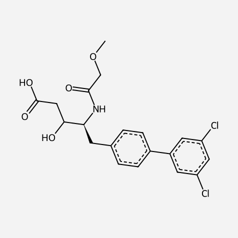 COCC(=O)N[C@@H](Cc1ccc(-c2cc(Cl)cc(Cl)c2)cc1)C(O)CC(=O)O